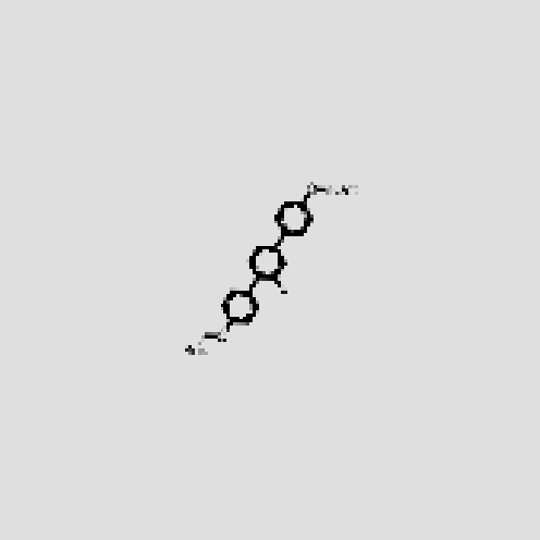 CCCCCCCCOc1ccc(-c2ccc(-c3ccc(OC[C@@H](C)CC)cc3)c(F)c2)cc1